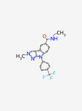 CCNC(=O)c1ccc2c(c1)c1cn(C)nc1n2-c1ccc(C(F)(F)F)cc1